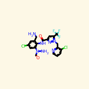 NCc1cc(Cl)cc(N(N)C=O)c1NC(=O)c1cc(C(F)(F)F)n(Cc2ncccc2Cl)n1